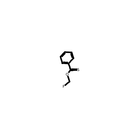 FCOC(=S)c1ccccc1